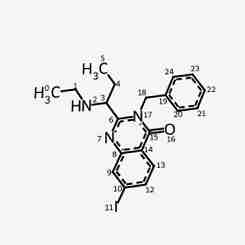 CCNC(CC)c1nc2cc(I)ccc2c(=O)n1Cc1ccccc1